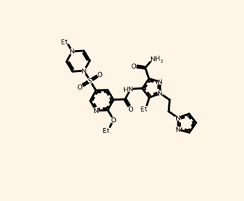 CCOc1ncc(S(=O)(=O)N2C=CN(CC)C=C2)cc1C(=O)Nc1c(C(N)=O)nn(CCn2cccn2)c1CC